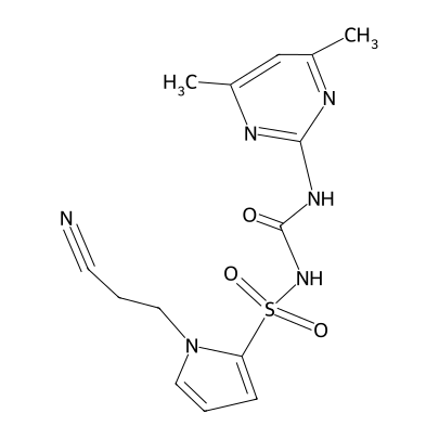 Cc1cc(C)nc(NC(=O)NS(=O)(=O)c2cccn2CCC#N)n1